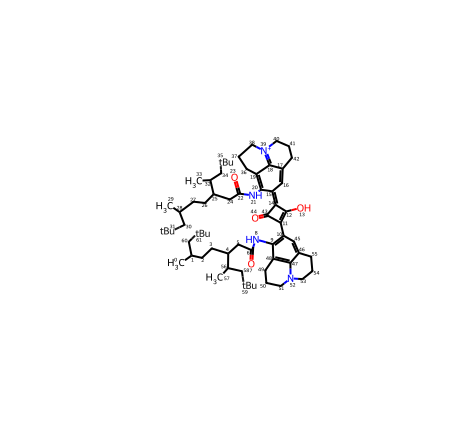 CC(CCC(CC(=O)Nc1c(C2=C(O)/C(=c3\cc4c5c(c3NC(=O)CC(CCC(C)CC(C)(C)C)C(C)CC(C)(C)C)CCC[N+]=5CCC4)C2=O)cc2c3c1CCCN3CCC2)C(C)CC(C)(C)C)CC(C)(C)C